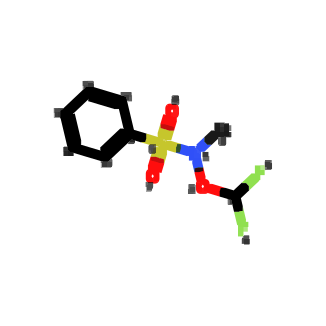 CCN(OC(F)F)S(=O)(=O)c1ccccc1